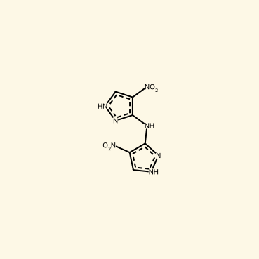 O=[N+]([O-])c1c[nH]nc1Nc1n[nH]cc1[N+](=O)[O-]